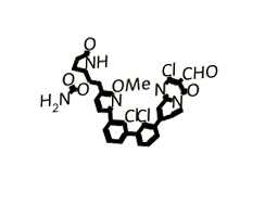 COc1nc(-c2cccc(-c3cccc(-c4ccn5c(=O)c(C=O)c(Cl)nc5c4)c3Cl)c2Cl)ccc1CC(OC(N)=O)C1CCC(=O)N1